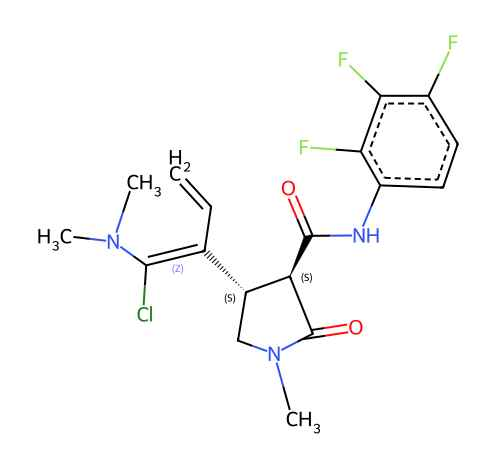 C=C/C(=C(/Cl)N(C)C)[C@H]1CN(C)C(=O)[C@@H]1C(=O)Nc1ccc(F)c(F)c1F